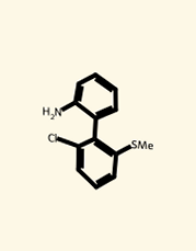 CSc1cccc(Cl)c1-c1ccccc1N